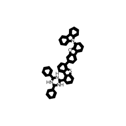 c1ccc(C2NC(c3ccccc3)NC(c3cccc4sc5c(-c6ccc7c(c6)oc6c(-n8c9ccccc9c9ccccc98)cccc67)cccc5c34)N2)cc1